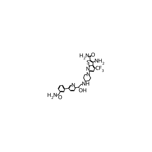 NC(=O)c1cccc(-c2ccc(C(O)CNC3CCN(c4cc(C(F)(F)F)c5c(N)c(C(N)=O)sc5n4)CC3)nc2)c1